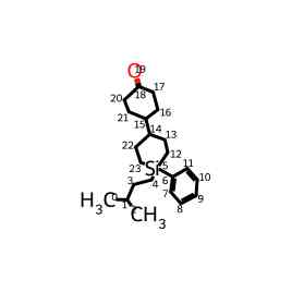 CC(C)CC[Si]1(c2ccccc2)CCC(C2CCC(=O)CC2)CC1